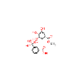 COC(=O)c1cc(O)c(O)c(O)c1.O=C(O)c1cccc(C(O)(O)O)c1